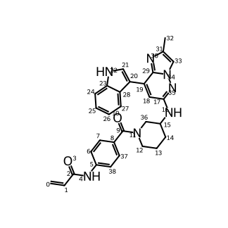 C=CC(=O)Nc1ccc(C(=O)N2CCCC(Nc3cc(-c4c[nH]c5ccccc45)c4nc(C)cn4n3)C2)cc1